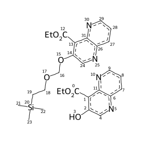 CCOC(=O)c1c(O)cnc2cccnc12.CCOC(=O)c1c(OCOCC[Si](C)(C)C)cnc2cccnc12